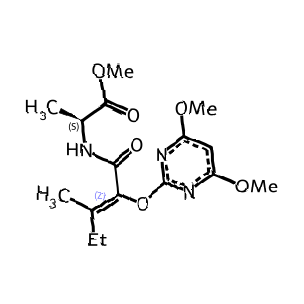 CC/C(C)=C(\Oc1nc(OC)cc(OC)n1)C(=O)N[C@@H](C)C(=O)OC